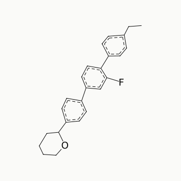 CCc1ccc(-c2ccc(-c3ccc(C4CCCCO4)cc3)cc2F)cc1